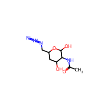 CC(=O)NC1C(O)CC(CN=[N+]=[N-])OC1O